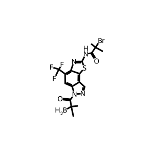 BC(C)(C)C(=O)n1ncc2c3sc(NC(=O)C(C)(C)Br)nc3c(C(F)(F)F)cc21